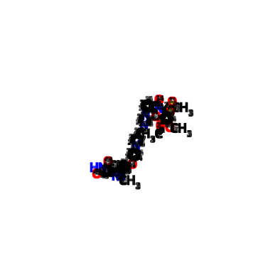 CCOc1cc([C@@H](CS(C)(=O)=O)N2C(=O)c3cccc(N4CCN(CCC5CCN(c6ccc(Oc7ccc8c([C@@]9(C)CCC(=O)NC9=O)nn(C)c8c7)cc6)CC5)CC4)c3C2=O)ccc1OC